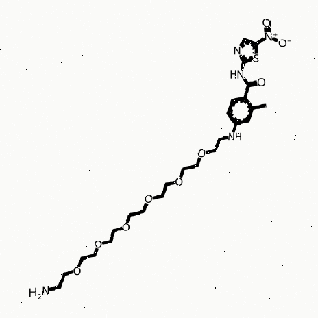 Cc1cc(NCCOCCOCCOCCOCCOCCOCCN)ccc1C(=O)Nc1ncc([N+](=O)[O-])s1